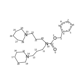 O=C(OCc1ccccc1)N(CCCN1CCCCC1)CCCN1CCCCC1